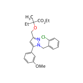 CCOC(=O)C(C)(CC)OCc1cc(-c2cccc(OC)c2)n(Cc2ccccc2Cl)n1